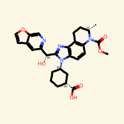 COC(=O)N1c2ccc3c(nc([C@H](O)c4cc5ccoc5cn4)n3[C@@H]3CCC[C@@H](C(=O)O)C3)c2CC[C@@H]1C